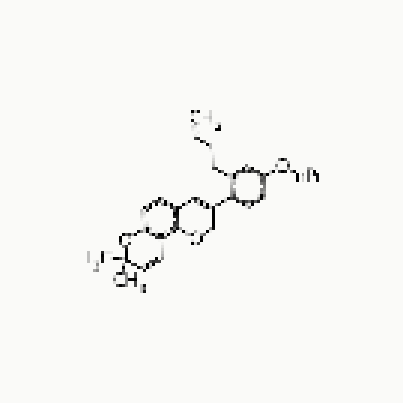 C=CCCc1cc(OCCC)ccc1C1=Cc2ccc3c(c2OC1)C=CC(C)(C)O3